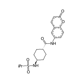 CC(C)S(=O)(=O)N[C@H]1CC[C@H](C(=O)Nc2ccc3oc(=O)ccc3c2)CC1